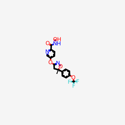 C[C@@]1(c2ccc(OC(F)(F)F)cc2)CC(Oc2ccc(C(=O)NO)nc2)=NO1